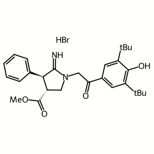 Br.COC(=O)[C@H]1CN(CC(=O)c2cc(C(C)(C)C)c(O)c(C(C)(C)C)c2)C(=N)[C@@H]1c1ccccc1